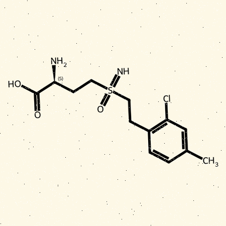 Cc1ccc(CCS(=N)(=O)CC[C@H](N)C(=O)O)c(Cl)c1